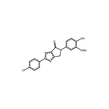 COc1cc(N2Cc3nn(-c4ccc(Cl)cc4)nc3C2=O)ccc1O